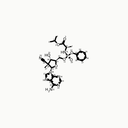 CC(C)OC(=O)[C@@H](C)NP(=O)(OC[C@H]1O[C@@H](n2cnc3c(N)ncnc32)[C@](C)(C#N)[C@@H]1O)Oc1ccccc1